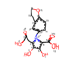 O=C(O)c1c(O)c(O)c(C(=O)O)n1-c1ccc2c(c1)CCO2